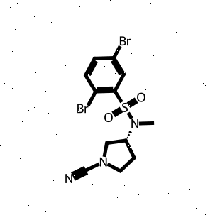 CN([C@@H]1CCN(C#N)C1)S(=O)(=O)c1cc(Br)ccc1Br